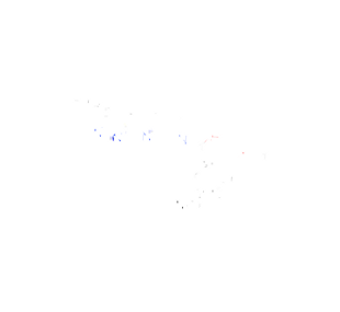 CC(C)Oc1ccc(C#N)cc1C(=O)N1CCN(c2nnc(C(F)(F)F)s2)CC1